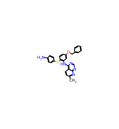 Cc1ccc2c(Nc3cc(OCc4ccccc4)ccc3Sc3ccc(N)cc3)ncnc2n1